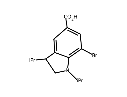 CC(C)C1CN(C(C)C)c2c(Br)cc(C(=O)O)cc21